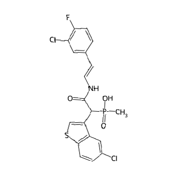 CP(=O)(O)C(C(=O)NC=Cc1ccc(F)c(Cl)c1)c1csc2ccc(Cl)cc12